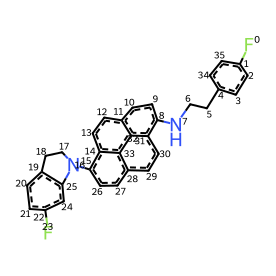 Fc1ccc(CCNc2ccc3ccc4c(N5CCc6ccc(F)cc65)ccc5ccc2c3c54)cc1